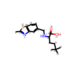 Cc1nc2cc(CNC(CCC(C)(C)C)C(=O)O)ccc2s1